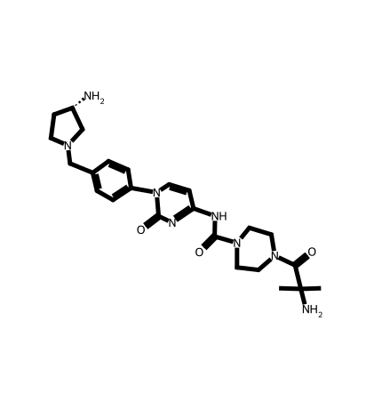 CC(C)(N)C(=O)N1CCN(C(=O)Nc2ccn(-c3ccc(CN4CC[C@H](N)C4)cc3)c(=O)n2)CC1